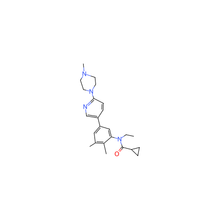 CCN(C(=O)C1CC1)c1cc(-c2ccc(N3CCN(C)CC3)nc2)cc(C)c1C